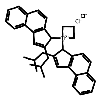 CC(C)CC1=Cc2c(ccc3ccccc23)[CH]1[Ti+2]1([CH]2C(CC(C)C)=Cc3c2ccc2ccccc32)[CH2]C[CH2]1.[Cl-].[Cl-]